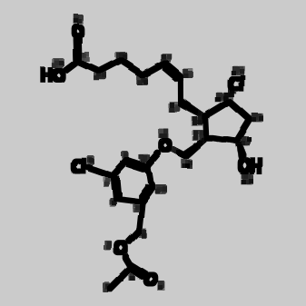 CC(=O)OCc1cc(Cl)cc(OC[C@H]2[C@@H](C/C=C\CCCC(=O)O)[C@H](Cl)C[C@H]2O)c1